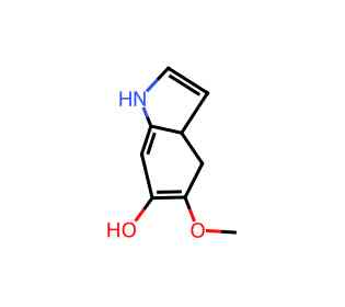 COC1=C(O)C=C2NC=CC2C1